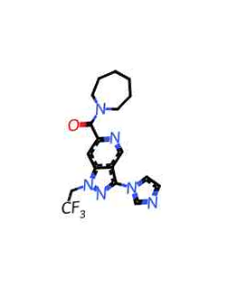 O=C(c1cc2c(cn1)c(-n1ccnc1)nn2CC(F)(F)F)N1CCCCCC1